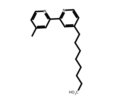 Cc1ccnc(-c2cc(CCCCCCCC(=O)O)ccn2)c1